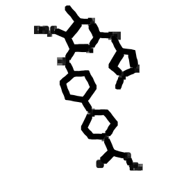 CCOC(=O)c1c(C)nc(Nc2cnn(C)c2)nc1NC1CCC(N2CCN(C(=O)OC(C)(C)C)CC2)CC1